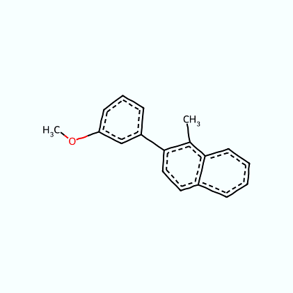 COc1cccc(-c2ccc3ccccc3c2C)c1